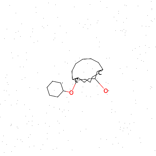 [O]C1CCC(OC2[CH]CCCC2)C2CCCCCC(CCCCC2)C1